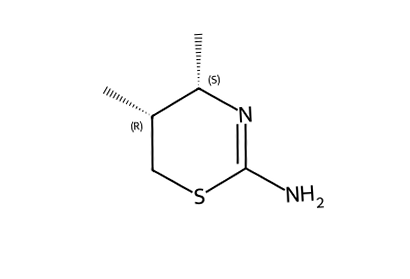 C[C@@H]1N=C(N)SC[C@@H]1C